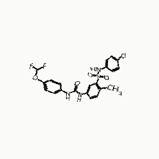 Cc1ccc(NC(=O)Nc2ccc(OC(F)F)cc2)cc1S(=O)(=O)Nc1ccc(Cl)cc1